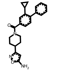 Nc1cc(C2CCN(C(=O)c3ccc(-c4ccccc4)c(C4CC4)c3)CC2)no1